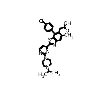 Cc1cc2nc(-c3ccnc(N4CCN(C(C)C)CC4)n3)sc2c(-c2ccc(Cl)cc2)c1CC(=O)O